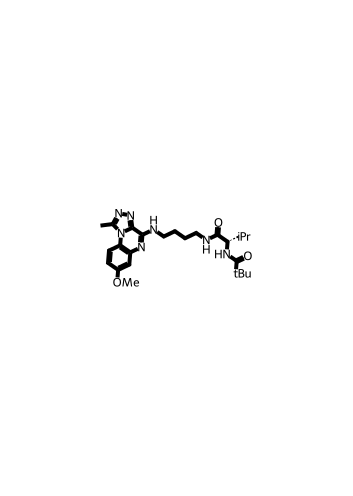 COc1ccc2c(c1)nc(NCCCCNC(=O)[C@@H](NC(=O)C(C)(C)C)C(C)C)c1nnc(C)n12